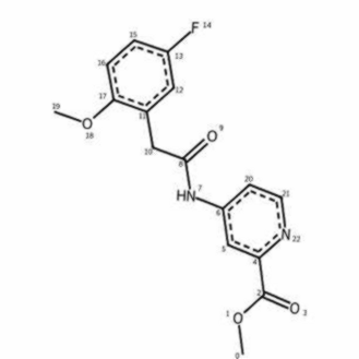 COC(=O)c1cc(NC(=O)Cc2cc(F)ccc2OC)ccn1